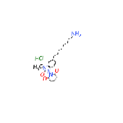 Cl.Cn1c(=O)n(N2C(=O)CCCC2=O)c2ccc(CCCCCCCCN)cc21